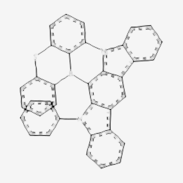 c1ccc(-n2c3ccccc3c3cc4c5ccccc5n5c4c(c32)B2c3ccccc3Sc3cccc-5c32)cc1